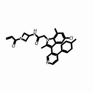 C=CC(=O)N1CC(NC(=O)Cn2c(C)c(-c3cnccc3C3=CCC(C)CC3)c3cc(Cl)cc(C)c32)C1